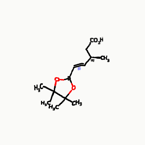 C[C@@H](/C=C/B1OC(C)(C)C(C)(C)O1)CC(=O)O